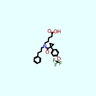 O=C(O)CCCCN(CCCc1ccccc1)C(=O)C1(c2ccc(OC(F)(F)F)cc2)CC1